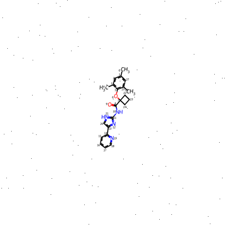 Cc1cc(C)c(OC2(C(=O)Nc3nc(-c4ccccn4)c[nH]3)CCC2)c(C)c1